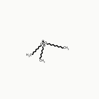 CCCCCCCCCCOP(=O)(OCCCCCCCC)OCCCCCCCC